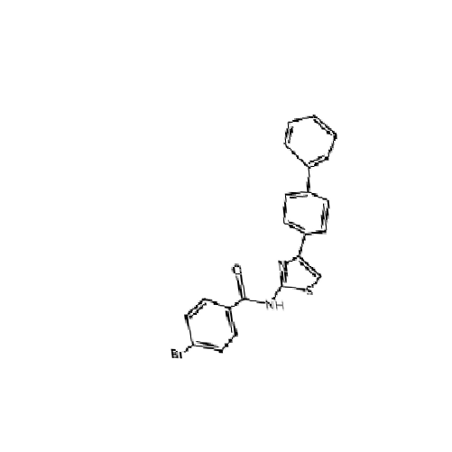 O=C(Nc1nc(-c2ccc(-c3ccccc3)cc2)cs1)c1ccc(Br)cc1